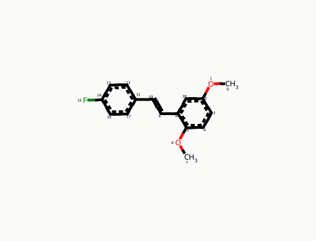 COc1ccc(OC)c(/C=C/c2ccc(F)cc2)c1